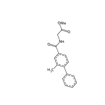 COC(=O)CNC(=O)c1ccc(-c2ccccc2)c(C)c1